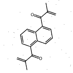 C=C(C)C(=O)c1cccc2c(C(=O)C(=C)C)cccc12